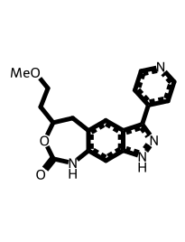 COCCC1Cc2cc3c(-c4ccncc4)n[nH]c3cc2NC(=O)O1